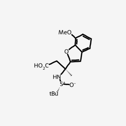 COc1cccc2cc([C@](C)(CC(=O)O)N[S@+]([O-])C(C)(C)C)oc12